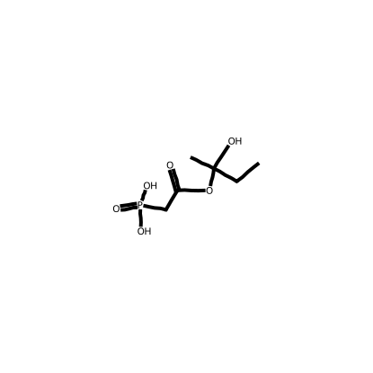 CCC(C)(O)OC(=O)CP(=O)(O)O